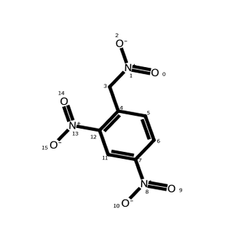 O=[N+]([O-])Cc1ccc([N+](=O)[O-])cc1[N+](=O)[O-]